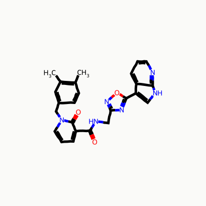 Cc1ccc(Cn2cccc(C(=O)NCc3noc(-c4c[nH]c5ncccc45)n3)c2=O)cc1C